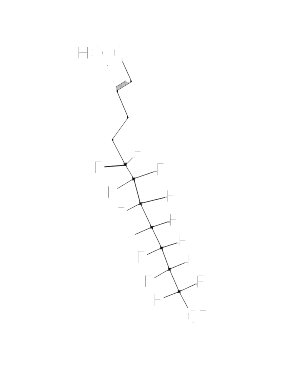 O=C(O)C=CCCC(F)(F)C(F)(F)C(F)(F)C(F)(F)C(F)(F)C(F)(F)C(F)(F)C(F)(F)F